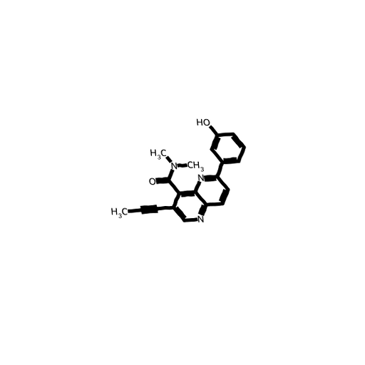 CC#Cc1cnc2ccc(-c3cccc(O)c3)nc2c1C(=O)N(C)C